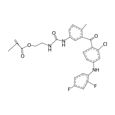 C=C(C)C(=O)OCCNC(=O)Nc1ccc(C)c(C(=O)c2ccc(Nc3ccc(F)cc3F)cc2Cl)c1